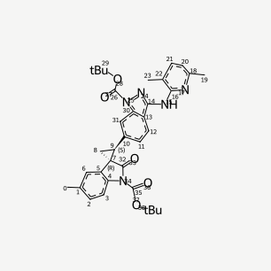 Cc1ccc2c(c1)[C@]1(C[C@H]1c1ccc3c(Nc4nc(C)ccc4C)nn(C(=O)OC(C)(C)C)c3c1)C(=O)N2C(=O)OC(C)(C)C